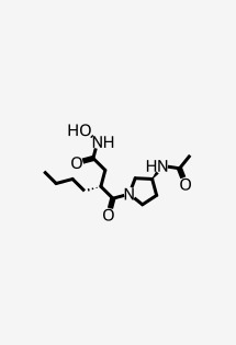 CCCC[C@H](CC(=O)NO)C(=O)N1CC[C@H](NC(C)=O)C1